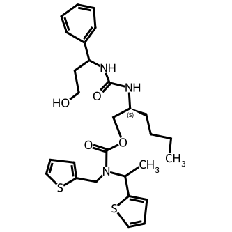 CCCC[C@@H](COC(=O)N(Cc1cccs1)C(C)c1cccs1)NC(=O)NC(CCO)c1ccccc1